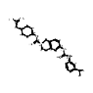 CC(C)c1cccc(NC(=O)Nc2ccc3c(c2)CCN(C(=O)OC2CCC(CC(=O)O)CC2)C3)c1